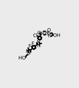 Cc1nn(CCCO)cc1-c1ccc(C2=CN(c3ccc(C(=O)N4CCN(C(=O)[C@@H]5C[C@@H](O)C[N+]5(C)C)CC4)c(Cl)c3)C(C)N2C)c(F)c1F